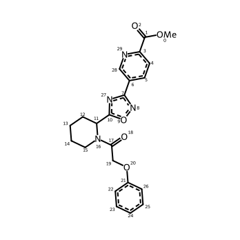 COC(=O)c1ccc(-c2noc(C3CCCCN3C(=O)COc3ccccc3)n2)cn1